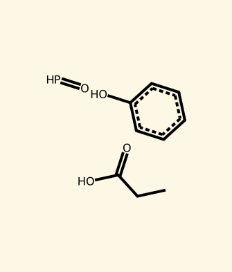 CCC(=O)O.O=P.Oc1ccccc1